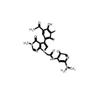 CN(C)c1cc(NC(=O)Cn2cc(-c3cc(C(N)=O)c(O)c(F)c3F)c3c(=O)n(C)cnc32)c(Cl)cn1